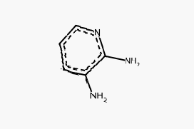 Nc1[c]ccnc1N